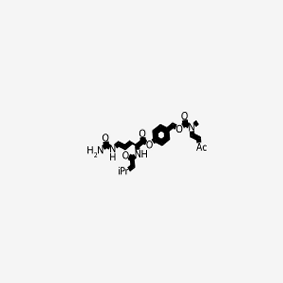 CC(=O)CCN(C)C(=O)OCc1ccc(OC(=O)[C@H](CCCNC(N)=O)NC(=O)CC(C)C)cc1